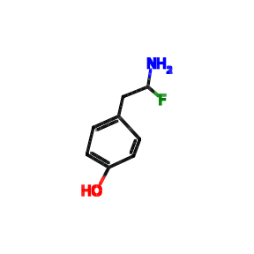 NC(F)Cc1ccc(O)cc1